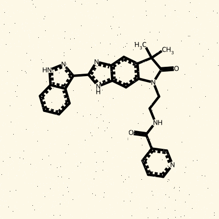 CC1(C)C(=O)N(CCNC(=O)c2cccnc2)c2cc3[nH]c(-c4n[nH]c5ccccc45)nc3cc21